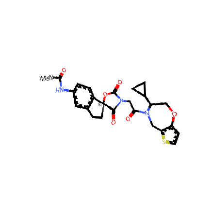 CNC(=O)Nc1ccc2c(c1)CC[C@]21OC(=O)N(CC(=O)N2Cc3sccc3OCC2C2CC2)C1=O